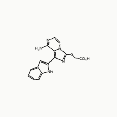 Nc1nccn2c(SCC(=O)O)nc(-c3cc4ccccc4[nH]3)c12